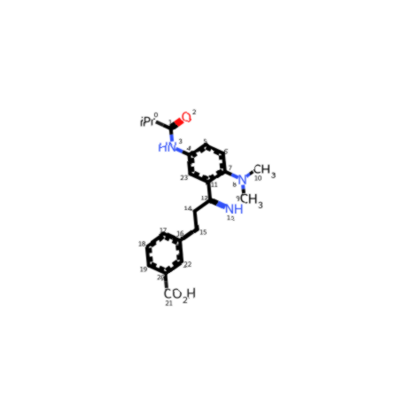 CC(C)C(=O)Nc1ccc(N(C)C)c(C(=N)CCc2cccc(C(=O)O)c2)c1